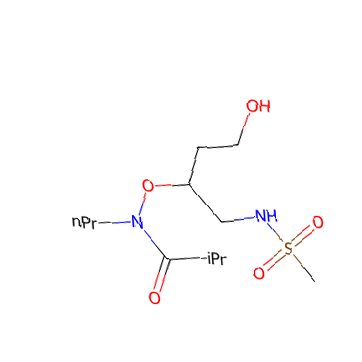 [CH2]CCN(OC(CCO)CNS(C)(=O)=O)C(=O)C(C)C